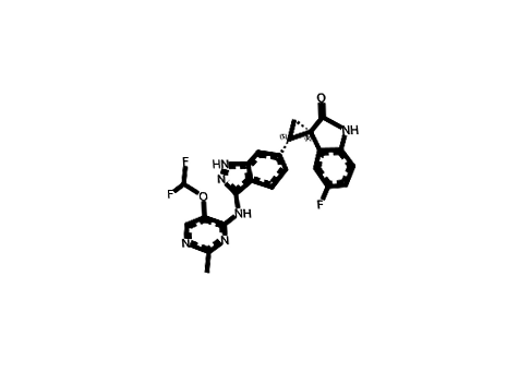 Cc1ncc(OC(F)F)c(Nc2n[nH]c3cc([C@@H]4C[C@@]45C(=O)Nc4ccc(F)cc45)ccc23)n1